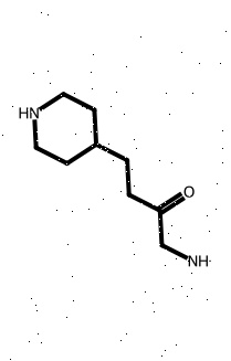 [NH]CC(=O)CCC1CCNCC1